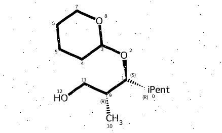 CCC[C@@H](C)[C@H](OC1CCCCO1)[C@H](C)CO